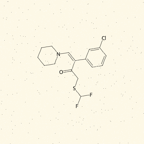 O=C(CSC(F)F)C(=CN1CCCCC1)c1cccc(Cl)c1